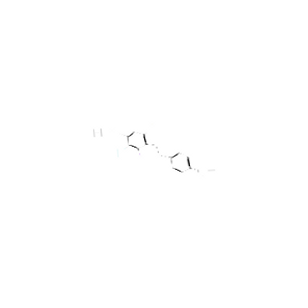 Cc1ccc(CCc2c(S)cc(C)c(F)c2I)cc1